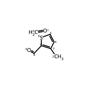 C=O.Cc1ccsc1C=O